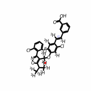 [2H]/C(=C(/[2H])c1c([2H])c(F)c(OC([2H])([2H])c2c(-c3c(Cl)cccc3Cl)noc2C(C([2H])([2H])[2H])C([2H])([2H])[2H])c([2H])c1Cl)c1cccc(C(=O)O)c1